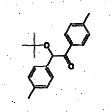 Cc1ccc(C(=O)C(OC(C)(C)C)c2ccc(C)cc2)cc1